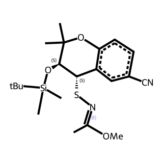 CO/C(C)=N/S[C@H]1c2cc(C#N)ccc2OC(C)(C)[C@@H]1O[Si](C)(C)C(C)(C)C